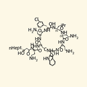 CCCCCCC[C@@H](O)CC(=O)N[C@H](CCN)C(=O)N[C@H]1CCNC(=O)[C@H](Cc2c[nH]c3ccccc23)NC(=O)[C@H](CCN)NC(=O)[C@H](CCN)NC(=O)[C@H](CC(C)C)NC(=O)[C@@H](Cc2cccc(Cl)c2)NC(=O)[C@H](CCN)NC1=O